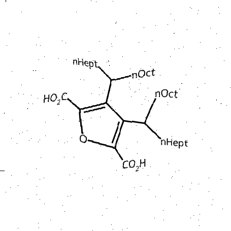 CCCCCCCCC(CCCCCCC)c1c(C(=O)O)oc(C(=O)O)c1C(CCCCCCC)CCCCCCCC